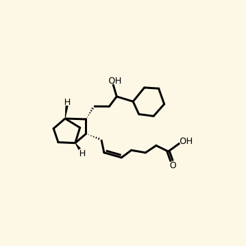 O=C(O)CCC/C=C\C[C@@H]1[C@@H]2CC[C@@H](C2)[C@@H]1CCC(O)C1CCCCC1